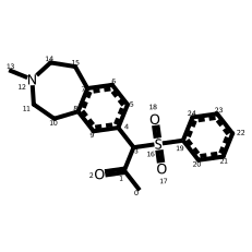 CC(=O)C(c1ccc2c(c1)CCN(C)CC2)S(=O)(=O)c1ccccc1